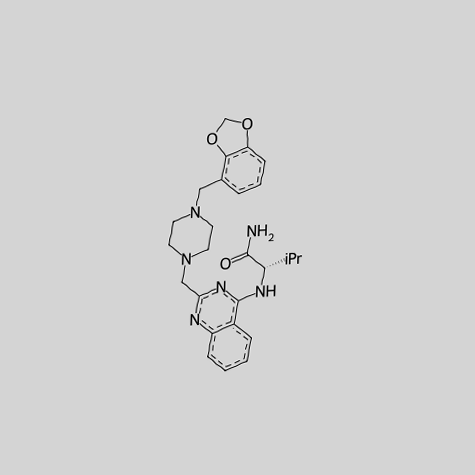 CC(C)[C@H](Nc1nc(CN2CCN(Cc3cccc4c3OCO4)CC2)nc2ccccc12)C(N)=O